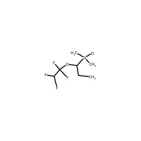 CCC(OC(F)(F)C(F)F)[Si](C)(C)Cl